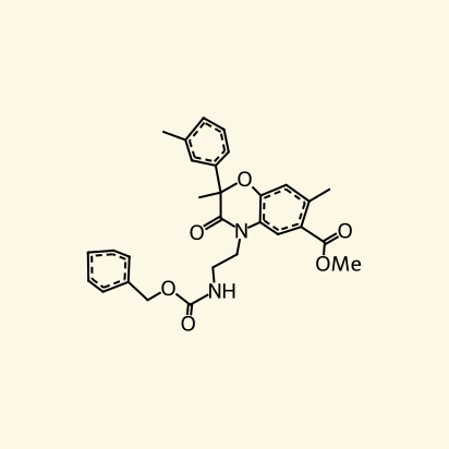 COC(=O)c1cc2c(cc1C)OC(C)(c1cccc(C)c1)C(=O)N2CCNC(=O)OCc1ccccc1